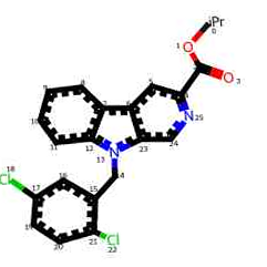 CC(C)OC(=O)c1cc2c3ccccc3n(Cc3cc(Cl)ccc3Cl)c2cn1